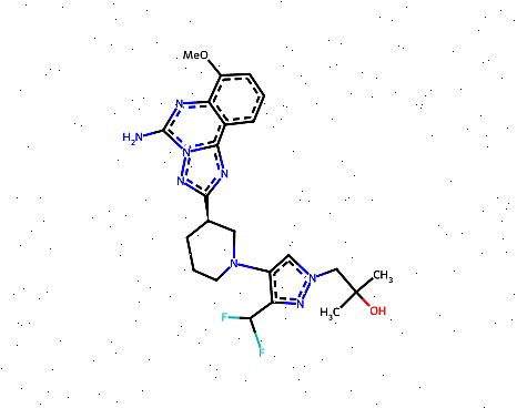 COc1cccc2c1nc(N)n1nc([C@@H]3CCCN(c4cn(CC(C)(C)O)nc4C(F)F)C3)nc21